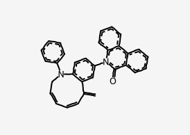 C=C1/C=C\C=C/CN(c2ccccc2)c2ccc(-n3c(=O)c4ccccc4c4ccccc43)cc21